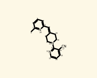 Cc1cccc(C=C2CCN(c3ncccc3C#N)CC2)n1